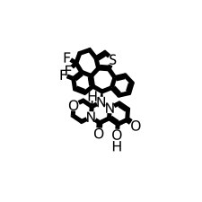 O=C1c2c(O)c(=O)ccn2N([C@@H]2c3ccccc3-c3scc4c3-c3c2ccc(F)c3C(F)(F)CC4)[C@@H]2COCCN12